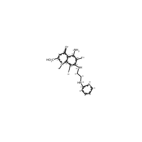 Cn1c(C(=O)O)cc(=O)c2c(N)c(F)c(NCCNc3ccccn3)c(F)c21